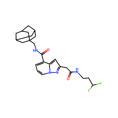 O=C(Cc1cc2c(C(=O)NCC34CC5CC(CC(C5)C3)C4)cccn2n1)NCCC(F)F